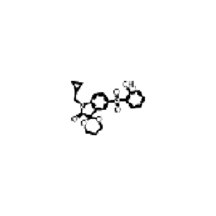 Cc1ccccc1S(=O)(=O)c1ccc2c(c1)C1(OCCCO1)C(=O)N2CC1CC1